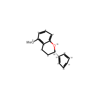 COc1cccc2c1CC[C@@H](c1ccccc1)O2